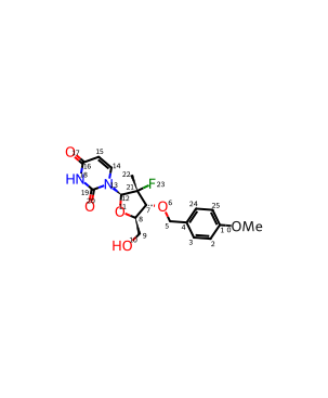 COc1ccc(CO[C@@H]2[C@@H](CO)O[C@@H](n3ccc(=O)[nH]c3=O)[C@]2(C)F)cc1